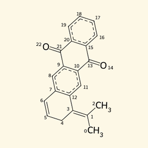 CC(C)=C1CC=Cc2cc3c(cc21)C(=O)c1ccccc1C3=O